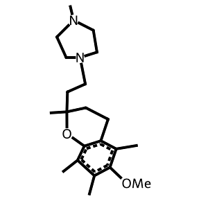 COc1c(C)c(C)c2c(c1C)CCC(C)(CCN1CCN(C)CC1)O2